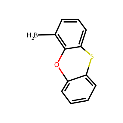 Bc1cccc2c1Oc1ccccc1S2